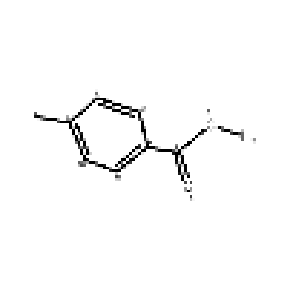 Cc1ccc(C(=O)OI)cc1